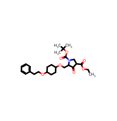 CCOC(=O)C1CN(C(=O)OC(C)(C)C)C(COC2CCC(OCCc3ccccc3)CC2)C1=O